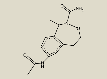 CC(=O)Nc1ccc2c(c1)CCON(C(N)=O)C2C